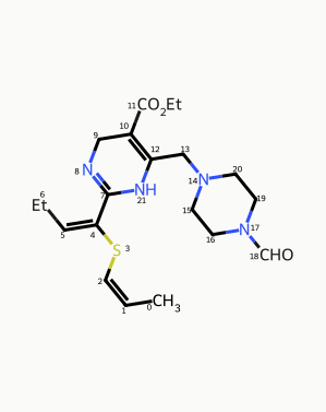 C/C=C\S/C(=C/CC)C1=NCC(C(=O)OCC)=C(CN2CCN(C=O)CC2)N1